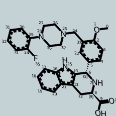 COc1ccc([C@@H]2N[C@@H](C(=O)O)Cc3c2[nH]c2ccccc32)cc1CN1CCN(c2ccccc2F)CC1